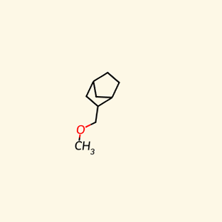 COCC1CC2CCC1C2